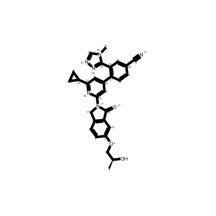 C[C@H](O)COc1ccc2c(c1)C(=O)N(c1cc(-c3ccc(C#N)cc3-c3nncn3C)cc(C3CC3)n1)C2